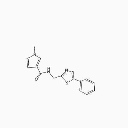 Cn1ccc(C(=O)NCc2nnc(-c3ccccc3)s2)c1